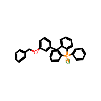 Cl[PH](c1ccccc1)(c1ccccc1)c1ccccc1Cc1cccc(OCc2ccccc2)c1